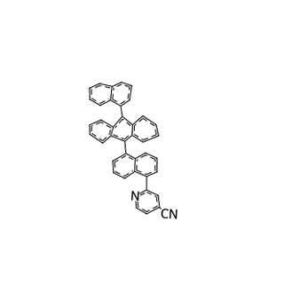 N#Cc1ccnc(-c2cccc3c(-c4c5ccccc5c(-c5cccc6ccccc56)c5ccccc45)cccc23)c1